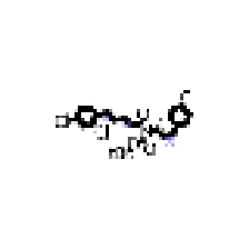 C[C@H](/C=C\c1ccc(Cl)cc1)N(C(=O)/C=C/C=C/c1ccc(Cl)cc1Cl)C(=O)OC(C)(C)C